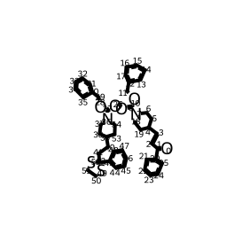 O=C(C=CC1CCN(C(=O)OCc2ccccc2)CC1)c1ccccc1.O=C(OCc1ccccc1)N1CCC(CCC2(c3ccccc3)SCCS2)CC1